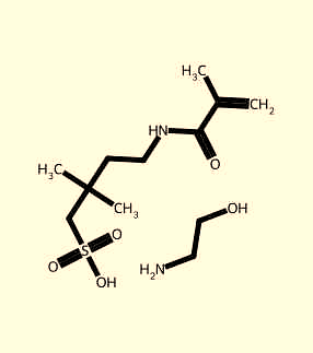 C=C(C)C(=O)NCCC(C)(C)CS(=O)(=O)O.NCCO